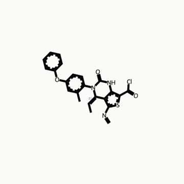 C=Nc1sc(C(=O)Cl)c2c1/C(=C\C)N(c1ccc(Oc3ccccc3)cc1C)C(=O)N2